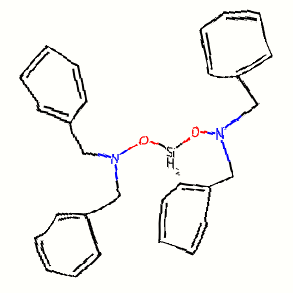 c1ccc(CN(Cc2ccccc2)O[SiH2]ON(Cc2ccccc2)Cc2ccccc2)cc1